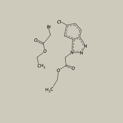 CCOC(=O)CBr.CCOC(=O)Cn1nnc2ccc(Cl)cc21